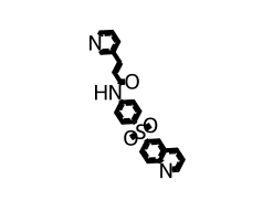 O=C(/C=C/c1cccnc1)Nc1ccc(S(=O)(=O)c2ccc3ncccc3c2)cc1